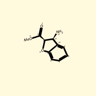 COC(=O)[C@@H]1Oc2ccccc2[C@@H]1N